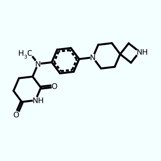 CN(c1ccc(N2CCC3(CC2)CNC3)cc1)C1CCC(=O)NC1=O